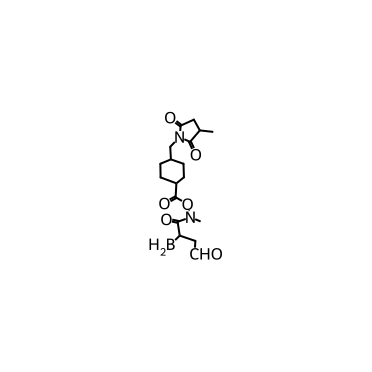 BC(CC=O)C(=O)N(C)OC(=O)C1CCC(CN2C(=O)CC(C)C2=O)CC1